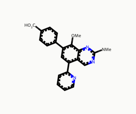 CNc1ncc2c(-c3ccccn3)cc(-c3ccc(C(=O)O)cc3)c(OC)c2n1